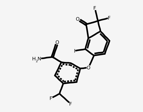 NC(=O)c1cc(OC2=C=C=C3C(=C2I)C(=O)C3(F)F)cc(C(F)F)c1